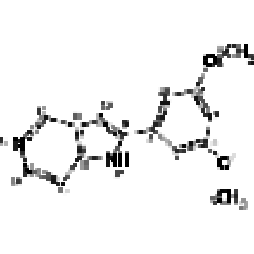 COc1cc(OC)cc(-c2nc3cnncc3[nH]2)c1